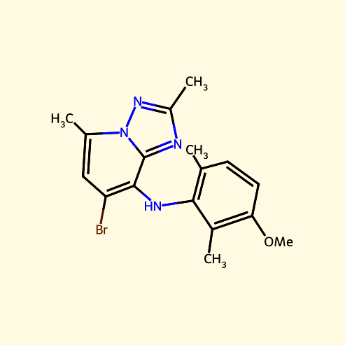 COc1ccc(C)c(Nc2c(Br)cc(C)n3nc(C)nc23)c1C